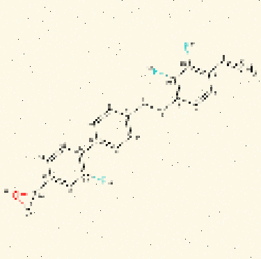 C=Cc1ccc(CCc2ccc(-c3ccc(C4CO4)cc3F)cc2)c(F)c1F